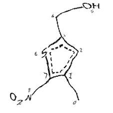 Cc1cc(CO)sc1[N+](=O)[O-]